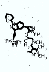 Cc1c(CN(C)C[C@H](C)Oc2c(-c3ccc4c(c3)c(C#C[Si](C(C)C)(C(C)C)C(C)C)nn4C3CCCCO3)cnn2C)c(I)nn1C